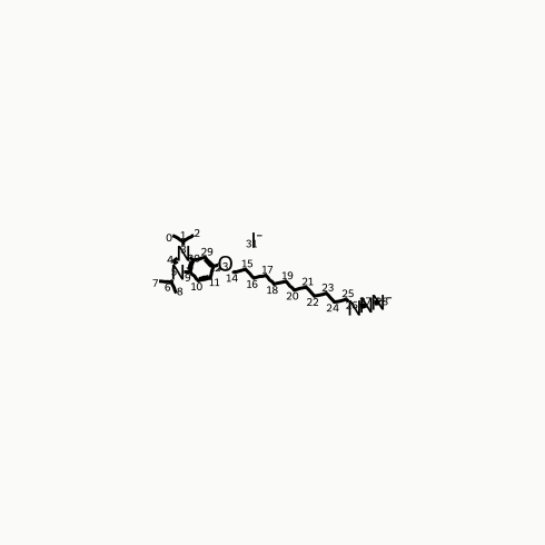 CC(C)n1c[n+](C(C)C)c2ccc(OCCCCCCCCCCCCN=[N+]=[N-])cc21.[I-]